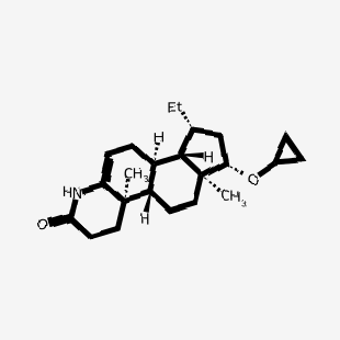 CC[C@@H]1C[C@H](OC2CC2)[C@@]2(C)CC[C@H]3[C@@H](CC=C4NC(=O)CC[C@@]43C)[C@H]12